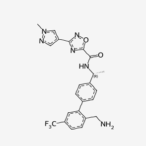 C[C@@H](NC(=O)c1nc(-c2cnn(C)c2)no1)c1ccc(-c2cc(C(F)(F)F)ccc2CN)cc1